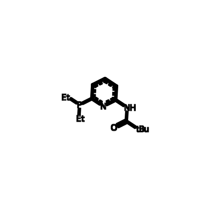 CCP(CC)c1cccc(NC(=O)C(C)(C)C)n1